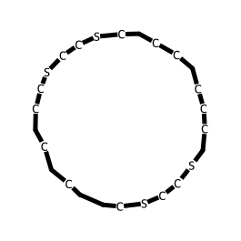 C1CCCCSCCSCCCCCCCCCSCCSCCCC1